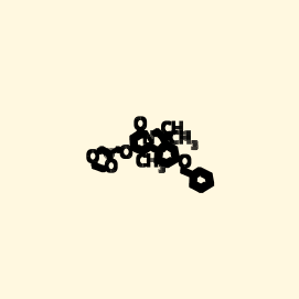 Cc1c(OC[C@@H]2COCCO2)cc(=O)n2c1-c1ccc(OCc3ccccc3)cc1C(C)(C)C2